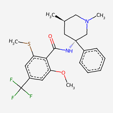 COc1cc(C(F)(F)F)cc(SC)c1C(=O)N[C@]1(c2ccccc2)C[C@@H](C)CN(C)C1